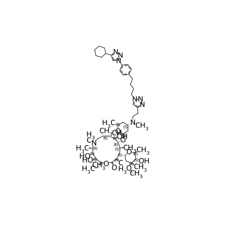 CC[C@H]1OC(=O)[C@H](C)[C@@H](C2C[C@@](C)(OC)[C@@H](O)[C@H](C)O2)[C@H](C)[C@@H](O[C@H]2C[C@@H](N(C)CCc3cn(CCCCc4ccc(-n5cc(C6CCCCC6)nn5)cc4)nn3)C[C@@H](C)O2)[C@](C)(O)C[C@@H](C)CN(C)[C@H](C)[C@@H](O)[C@]1(C)O